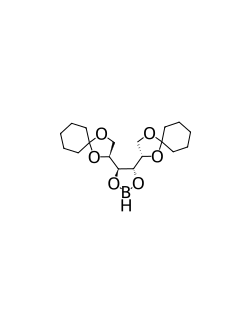 B1O[C@@H]([C@@H]2COC3(CCCCC3)O2)[C@H]([C@@H]2COC3(CCCCC3)O2)O1